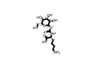 NCCCC[C@H](NC(=O)OC1O[C@H](CO)[C@@H](O)[C@H](O)[C@H]1O)C(=O)O